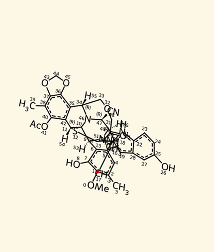 COc1c(C)cc2c(c1O)[C@H]1C3[C@@H]4SC[C@]5(NC(C)Cc6c5[nH]c5ccc(O)cc65)C(=O)COC[C@@H](c5c6c(c(C)c(OC(C)=O)c54)OCO6)N3[C@@H](C#N)[C@@H](C2)N1C